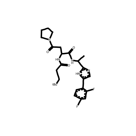 CC(NC(=O)C(CC(=O)N1CCCC1)NC(=O)CCC(C)(C)C)c1ncc(-c2ccc(F)cc2F)[nH]1